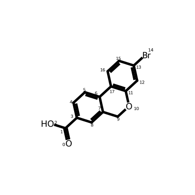 O=C(O)c1ccc2c(c1)COc1cc(Br)ccc1-2